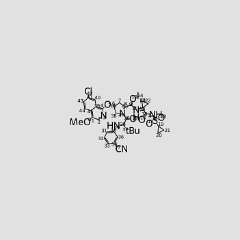 COc1cnc(O[C@@H]2C[C@@H](C(=O)N[C@]3(C(=O)NS(=O)(=O)C4CC4)C[C@H]3I)N(C(=O)C(Nc3cccc(C#N)c3)C(C)(C)C)C2)c2cc(Cl)ccc12